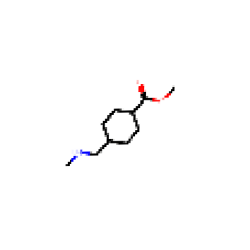 CNCC1CCC(C(=O)OC)CC1